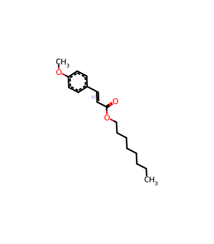 CCCCCCCCOC(=O)/C=C/c1ccc(OC)cc1